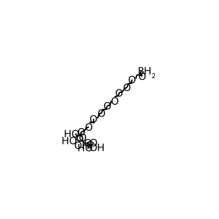 BC(=O)CCOCCOCCOCCOCCOCCOCCOCCOCCOC1OC(COP(=O)(O)O)C(O)C(O)C1O